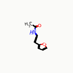 CC(=O)N/C=C/c1ccco1